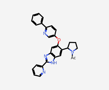 CC(=O)N1CCCC1c1cc2[nH]c(-c3ccccn3)nc2cc1Oc1ccc(-c2ccccc2)nc1